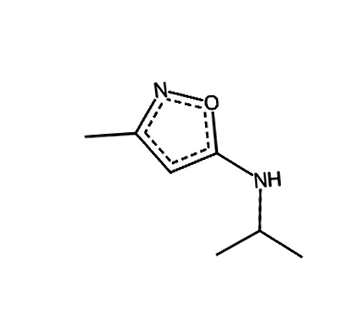 Cc1cc(NC(C)C)on1